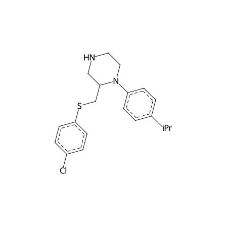 CC(C)c1ccc(N2CCNCC2CSc2ccc(Cl)cc2)cc1